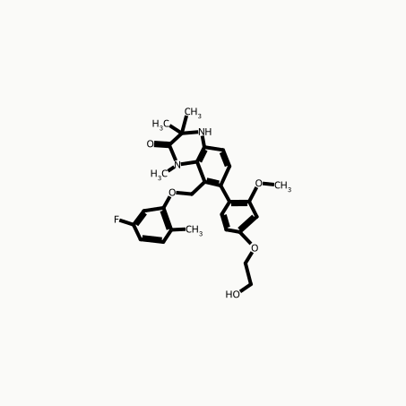 COc1cc(OCCO)ccc1-c1ccc2c(c1COc1cc(F)ccc1C)N(C)C(=O)C(C)(C)N2